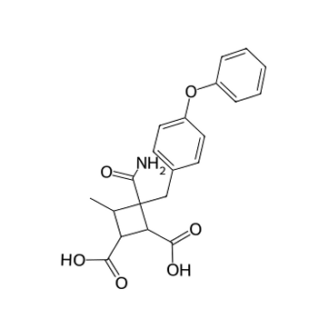 CC1C(C(=O)O)C(C(=O)O)C1(Cc1ccc(Oc2ccccc2)cc1)C(N)=O